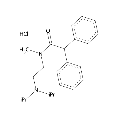 CC(C)N(CCN(C)C(=O)C(c1ccccc1)c1ccccc1)C(C)C.Cl